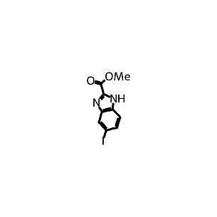 COC(=O)c1nc2cc(I)ccc2[nH]1